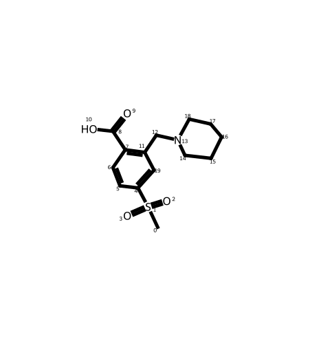 CS(=O)(=O)c1ccc(C(=O)O)c(CN2CCCCC2)c1